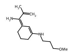 C=C(C)/C(N)=C1\C=C(NCCCOC)CCC1